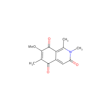 COC1=C(C)C(=O)c2cc(=O)n(C)c(C)c2C1=O